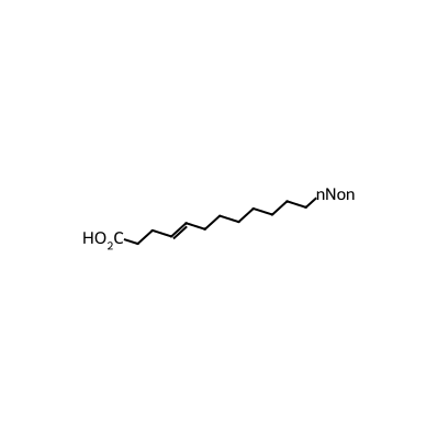 CCCCCCCCCCCCCCCCC=CCCC(=O)O